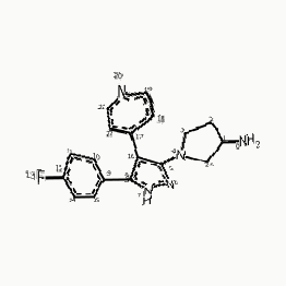 NC1CCN(c2n[nH]c(-c3ccc(F)cc3)c2-c2ccncc2)C1